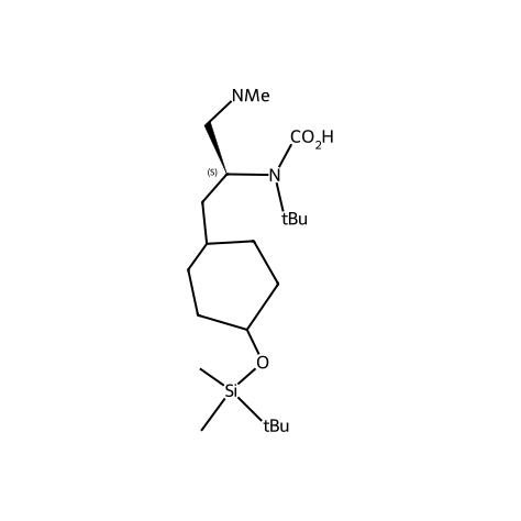 CNC[C@H](CC1CCC(O[Si](C)(C)C(C)(C)C)CC1)N(C(=O)O)C(C)(C)C